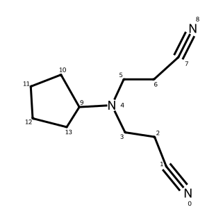 N#CCCN(CCC#N)C1CCCC1